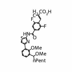 CCCCCC(OC)c1cccc(-c2csc(NC(=O)c3cc(F)c(C=C(C)C(=O)O)c(F)c3)n2)c1OC